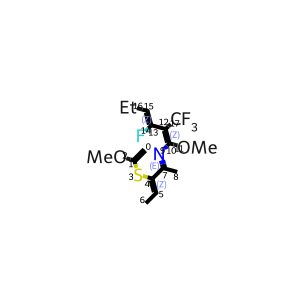 C=C(OC)SC(=C\C)/C(C)=N/C(OC)=C(\C(F)=C\CC)C(F)(F)F